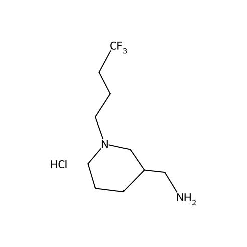 Cl.NCC1CCCN(CCCC(F)(F)F)C1